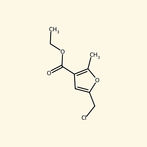 CCOC(=O)c1cc(CCl)oc1C